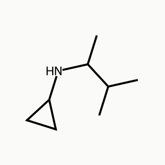 CC(C)C(C)NC1CC1